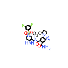 CN(C)c1cc(C(N)=O)c(C(=O)Nc2n[nH]c3c2CN(S(=O)(=O)c2cc(F)cc(F)c2)CC3)cc1N1CCC[C@@H]1C(=O)O